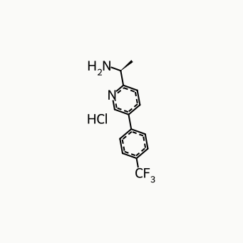 C[C@H](N)c1ccc(-c2ccc(C(F)(F)F)cc2)cn1.Cl